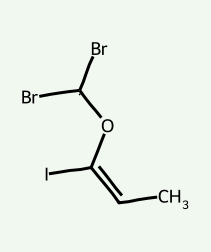 C/C=C(/I)O[C](Br)Br